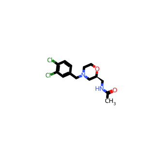 CC(=O)NC[C@H]1CN(Cc2ccc(Cl)c(Cl)c2)CCO1